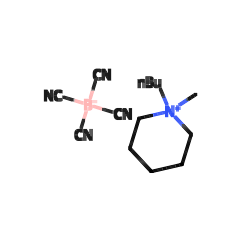 CCCC[N+]1(C)CCCCC1.N#C[B-](C#N)(C#N)C#N